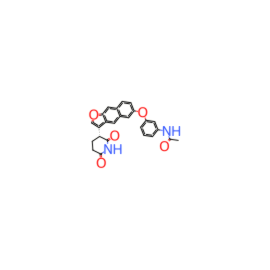 CC(=O)Nc1cccc(Oc2ccc3cc4occ([C@H]5CCC(=O)NC5=O)c4cc3c2)c1